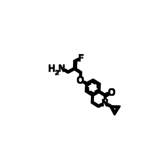 NC/C(=C/F)COc1ccc2c(c1)CCN(C1CC1)C2=O